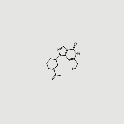 C=C(C)N1CCCC(n2ncc3c(=O)[nH]c(CC(C)C)nc32)C1